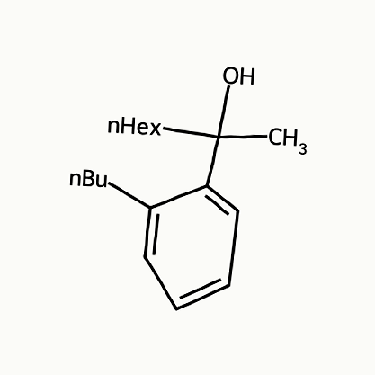 CCCCCCC(C)(O)c1ccccc1CCCC